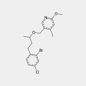 COc1cc(I)c(COC(C)CCc2ccc(Cl)cc2Br)cn1